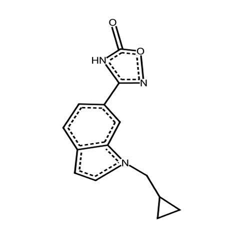 O=c1[nH]c(-c2ccc3ccn(CC4CC4)c3c2)no1